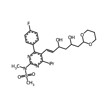 CC(C)c1nc(N(C)S(C)(=O)=O)nc(-c2ccc(F)cc2)c1/C=C/C(O)CC(O)CC1OCCCO1